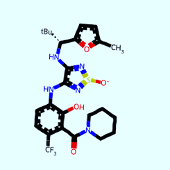 Cc1ccc([C@H](Nc2n[s+]([O-])nc2Nc2ccc(C(F)(F)F)c(C(=O)N3CCCCC3)c2O)C(C)(C)C)o1